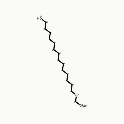 COCOCCCCCCCCCCCCCCO